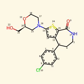 O=C1NCCC(c2ccc(Cl)cc2)c2cc(N3CCO[C@H](CO)C3)sc21